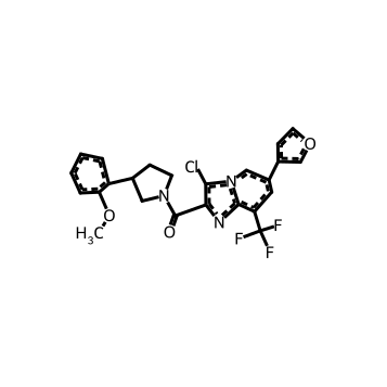 COc1ccccc1C1CCN(C(=O)c2nc3c(C(F)(F)F)cc(-c4ccoc4)cn3c2Cl)C1